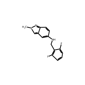 Cn1cc2cc(NCc3c(F)cccc3F)ccc2n1